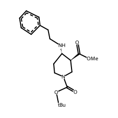 COC(=O)[C@H]1CN(C(=O)OC(C)(C)C)CC[C@@H]1NCCc1ccccc1